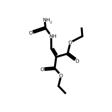 CCOC(=O)C(=CNC(N)=O)C(=O)OCC